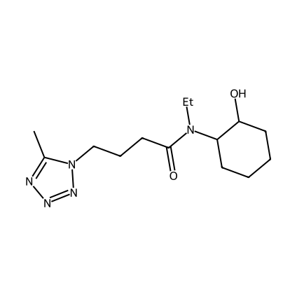 CCN(C(=O)CCCn1nnnc1C)C1CCCCC1O